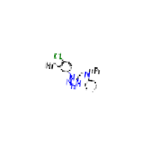 CCCN(Cc1nnnn1-c1ccc(Cl)c(C#N)c1)C1CCCCC1